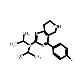 CC(C)N(c1nc2c(c(-c3ccc(F)cc3)n1)CNCC2)C(C)C